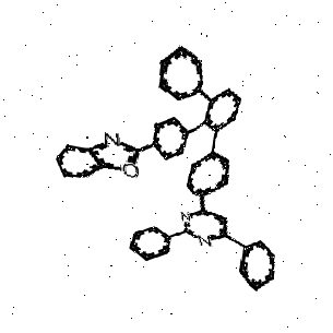 c1ccc(-c2cc(-c3ccc(-c4cccc(-c5ccccc5)c4-c4ccc(-c5nc6ccccc6o5)cc4)cc3)nc(-c3ccccc3)n2)cc1